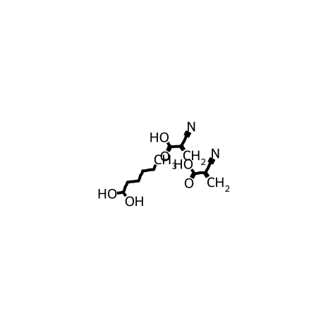 C=C(C#N)C(=O)O.C=C(C#N)C(=O)O.CCCCCC(O)O